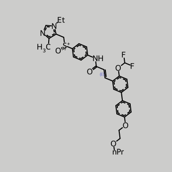 CCCOCCOc1ccc(-c2ccc(OC(F)F)c(/C=C/C(=O)Nc3ccc([S@+]([O-])Cc4c(C)ncn4CC)cc3)c2)cc1